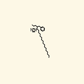 CCCCCCCCCCCCCCCCC(C(CCC)Cc1ccccc1)n1ccnc1